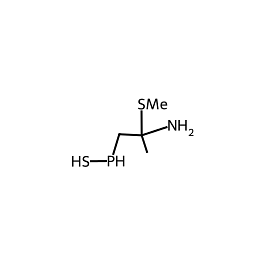 CSC(C)(N)CPS